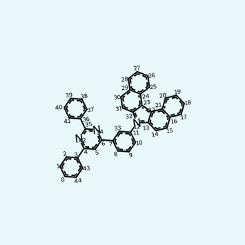 c1ccc(-c2cc(-c3cccc(-n4c5ccc6ccccc6c5c5c6ccccc6ccc54)c3)nc(-c3ccccc3)n2)cc1